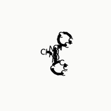 Clc1nc(ON=C2CCCCCCCCCCCC2)nc(ON=C2CCCCCCCCCCCC2)n1